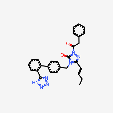 CCC=Cc1nn(C(=O)Cc2ccccc2)c(=O)n1Cc1ccc(-c2ccccc2-c2nnn[nH]2)cc1